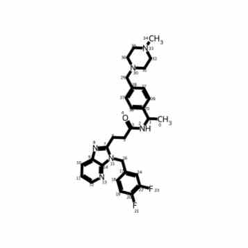 CC(NC(=O)CCc1nc2cccnc2n1Cc1ccc(F)c(F)c1)c1ccc(CN2CCN(C)CC2)cc1